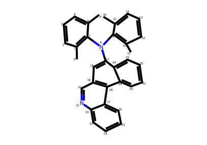 Cc1cccc(C)c1N(c1c(C)cccc1C)c1cc2cnc3ccccc3c2c2ccccc12